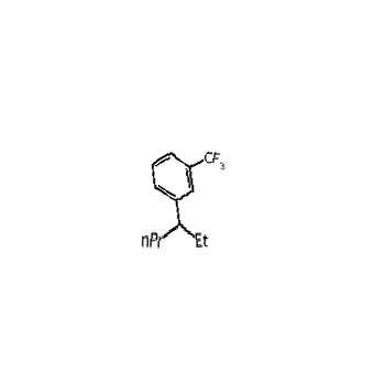 CCCC(CC)c1cccc(C(F)(F)F)c1